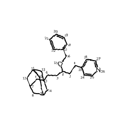 [CH](CC(CCC12CC3CC(CC(C3)C1)C2)OCc1ccccc1)c1ccncc1